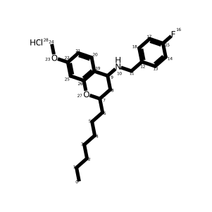 CCCCCCCC1CC(NCc2ccc(F)cc2)c2ccc(OC)cc2O1.Cl